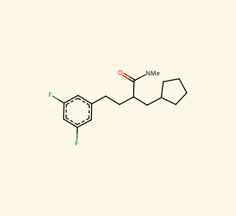 CNC(=O)C(CCc1cc(F)cc(F)c1)CC1CCCC1